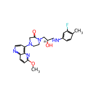 COc1ccc2nccc(N3CCN(C[C@H](O)CNc4ccc(C)c(F)c4)C(=O)C3)c2n1